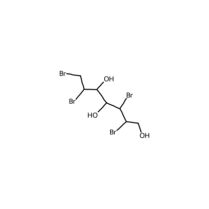 OCC(Br)C(Br)C(O)C(O)C(Br)CBr